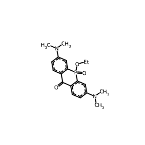 CCOP1(=O)c2cc(N(C)C)ccc2C(=O)c2ccc(N(C)C)cc21